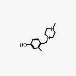 Cc1cc(O)ccc1CN1CCN(C)CC1